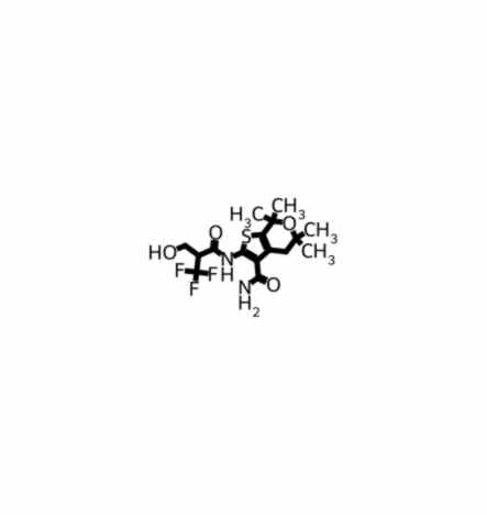 CC1(C)Cc2c(sc(NC(=O)C(CO)C(F)(F)F)c2C(N)=O)C(C)(C)O1